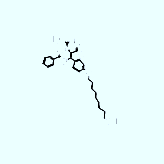 CCCCCCCCCCOc1ccc2c(OC(=O)c3ccccc3)c(OC(C)=O)c(=O)oc2c1